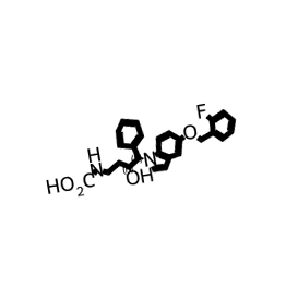 O=C(O)NCC[C@@H](O)[C@H](c1ccccc1)n1ccc2cc(OCc3ccccc3F)ccc21